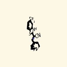 N#C/C(=C\c1ccncc1)C1Nc2cc(C(F)(F)F)ccc2S1